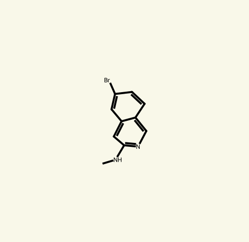 CNc1cc2cc(Br)ccc2cn1